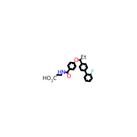 CCC(Oc1ccc(C(=O)NCCC(=O)O)cc1)c1ccc(-c2ccccc2F)cc1